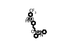 O=C(/C=C/c1cccc(NS(=O)(=O)c2ccc(C(F)(F)F)cc2)c1)Nc1ccccc1-c1nc2ccccc2[nH]1